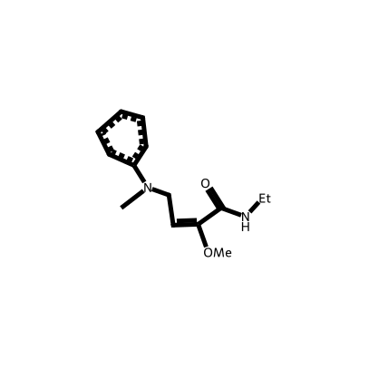 CCNC(=O)C(=CCN(C)c1ccccc1)OC